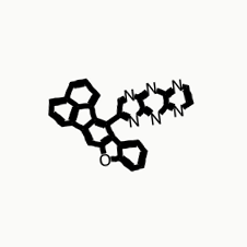 c1cc2c3c(cccc3c1)-c1c-2cc2oc3ccccc3c2c1-c1cnc2nc3nccnc3nc2n1